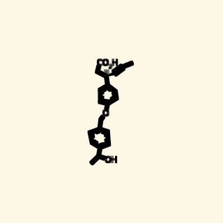 CC#C[C@@H](CC(=O)O)c1ccc(OCc2ccc(C(C)O)cc2)cc1